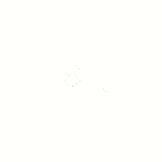 Nc1nc(O[C@H]2C[C@@H](N)C2)c2c(n1)C1(CCCC1)CCC2